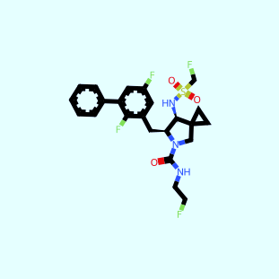 O=C(NCCF)N1CC2(CC2)[C@H](NS(=O)(=O)CF)[C@@H]1Cc1cc(F)cc(-c2ccccc2)c1F